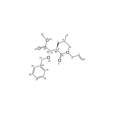 C=CCOC(=O)[C@H](CC(C)C)[C@H](OCc1ccccc1)C(=O)OC